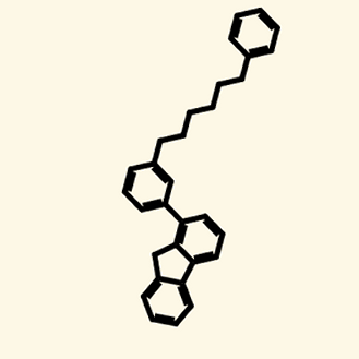 c1ccc(CCCCCCc2cccc(-c3cccc4c3Cc3ccccc3-4)c2)cc1